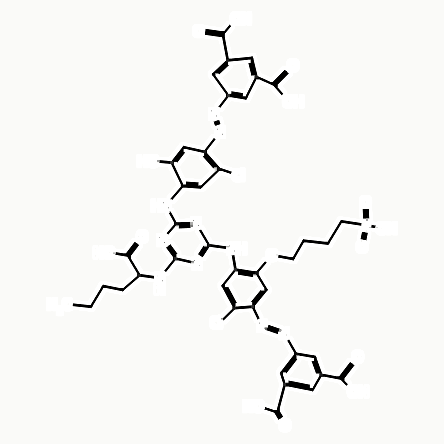 CCCCC(Nc1nc(Nc2cc(Cl)c(N=Nc3cc(C(=O)O)cc(C(=O)O)c3)cc2O)nc(Nc2cc(Cl)c(N=Nc3cc(C(=O)O)cc(C(=O)O)c3)cc2OCCCCS(=O)(=O)O)n1)C(=O)O